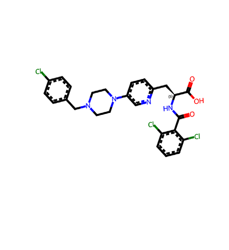 O=C(N[C@@H](Cc1ccc(N2CCN(Cc3ccc(Cl)cc3)CC2)cn1)C(=O)O)c1c(Cl)cccc1Cl